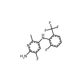 Cc1nc(N)c(F)cc1Nc1c(F)cccc1C(F)(F)F